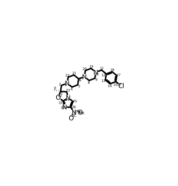 C[C@]1(CN2CCC(N3CCN(Cc4ccc(Cl)cc4)CC3)CC2)Cn2cc([N+](=O)[O-])nc2O1